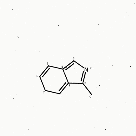 CC1=NC=C2C=CCC=C21